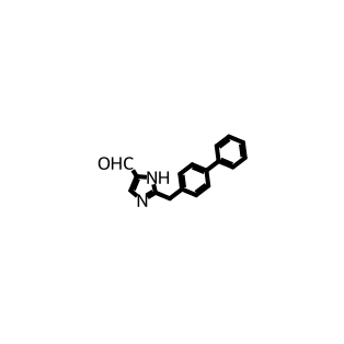 O=Cc1cnc(Cc2ccc(-c3ccccc3)cc2)[nH]1